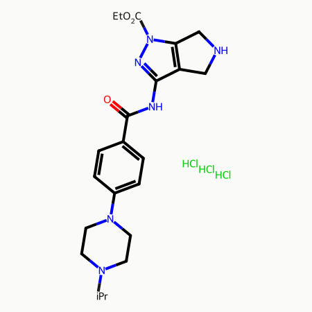 CCOC(=O)n1nc(NC(=O)c2ccc(N3CCN(C(C)C)CC3)cc2)c2c1CNC2.Cl.Cl.Cl